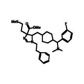 COC(=O)C1(CCSC)N=CN(CCc2ccccc2)C1CC1CCC(C(c2cccc(F)c2)N(C)C)CC1